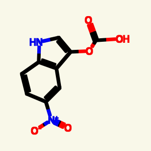 O=C(O)Oc1c[nH]c2ccc([N+](=O)[O-])cc12